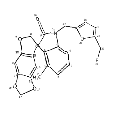 Cc1cccc2c1C1(COc3cc4c(cc31)OCO4)C(=O)N2Cc1ccc(CF)o1